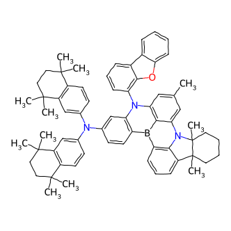 Cc1cc2c3c(c1)N1c4c(cccc4C4(C)CCCCC14C)B3c1ccc(N(c3ccc4c(c3)C(C)(C)CCC4(C)C)c3ccc4c(c3)C(C)(C)CCC4(C)C)cc1N2c1cccc2c1oc1ccccc12